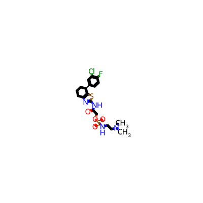 CN(C)CCNS(=O)(=O)OCC(=O)Nc1nc2c(s1)[C@H](c1ccc(F)c(Cl)c1)CCC2